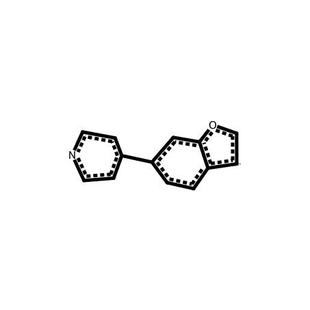 [c]1coc2cc(-c3ccncc3)ccc12